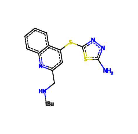 CC(C)(C)NCc1cc(Sc2nnc(N)s2)c2ccccc2n1